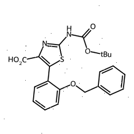 CC(C)(C)OC(=O)Nc1nc(C(=O)O)c(-c2ccccc2OCc2ccccc2)s1